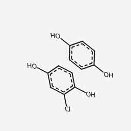 Oc1ccc(O)c(Cl)c1.Oc1ccc(O)cc1